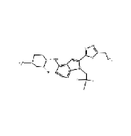 CN1CC[C@H](Nc2cccc3c2cc(-c2nnc(CN)s2)n3CC(F)(F)F)[C@H](F)C1